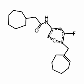 O=C(CC1CCCCCC1)Nc1ccc(CC2=CCCCCC2)c(F)c1